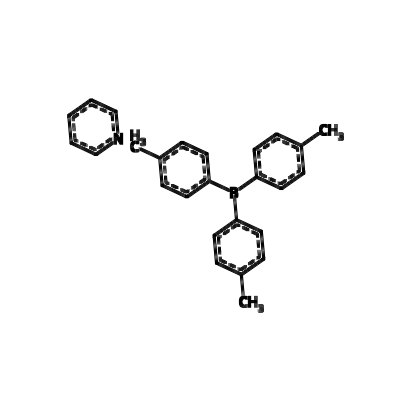 Cc1ccc(B(c2ccc(C)cc2)c2ccc(C)cc2)cc1.c1ccncc1